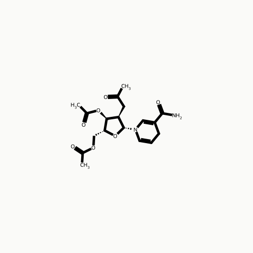 CC(=O)C[C@@H]1[C@H](OC(C)=O)[C@@H](COC(C)=O)O[C@H]1N1C=CCC(C(N)=O)=C1